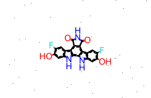 O=C1NC(=O)c2c1c1c3cc(F)c(O)cc3[nH]c1c1[nH]c3cc(O)c(F)cc3c21